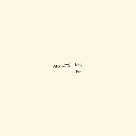 B.[Fe].[S]=[Mo]